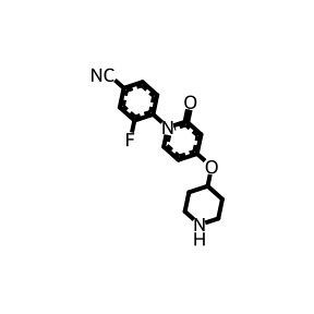 N#Cc1ccc(-n2ccc(OC3CCNCC3)cc2=O)c(F)c1